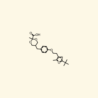 Cc1oc(C(C)(C)C)nc1CCOc1ccc(CC2COC(C)(C(=O)O)OC2)cc1